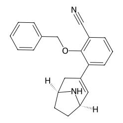 N#Cc1cccc(C2=C[C@H]3CC[C@@H](C2)N3)c1OCc1ccccc1